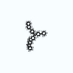 CC1(C)c2cc(N(c3ccc(-c4ccccc4)cc3)c3ccc(-c4ccc5ccccc5c4)cc3)ccc2-c2cc3c(cc21)sc1ccccc13